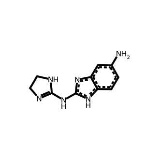 Nc1ccc2[nH]c(NC3=NCCN3)nc2c1